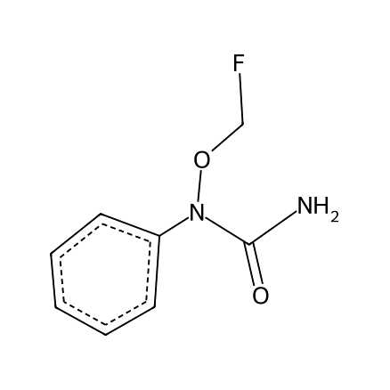 NC(=O)N(OCF)c1ccccc1